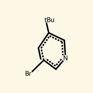 CC(C)(C)c1cncc(Br)c1